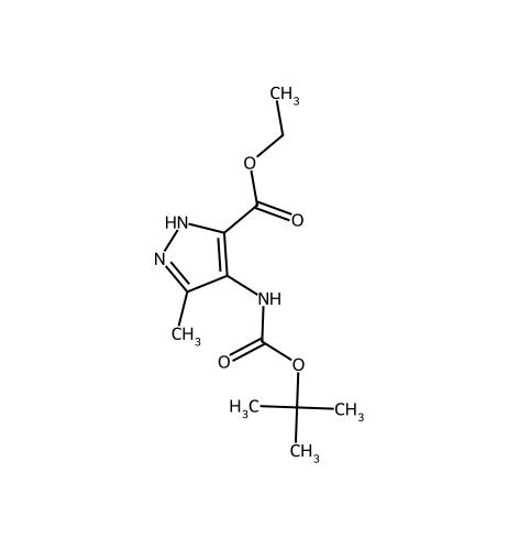 CCOC(=O)c1[nH]nc(C)c1NC(=O)OC(C)(C)C